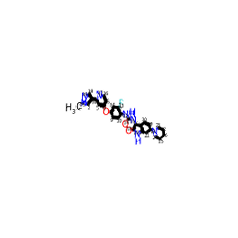 Cn1cc(-c2cc(Oc3ccc(NC(=O)NC4C(=O)Nc5cc(N6CCCCC6)ccc54)c(F)c3)ccn2)cn1